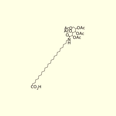 CC(=O)OC[C@@H](OC(C)=O)[C@@H](OC(C)=O)[C@H](OC(C)=O)[C@@H](OC(C)=O)C(=O)NCCCCCCCCCCCCCCCCCCCCCCCC(=O)O